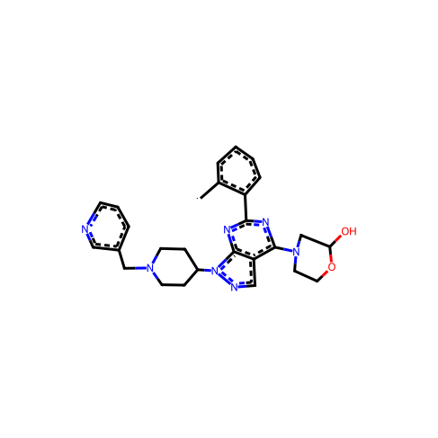 [CH2]c1ccccc1-c1nc(N2CCOC(O)C2)c2cnn(C3CCN(Cc4cccnc4)CC3)c2n1